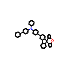 c1ccc(-c2ccc(N(c3ccccc3)c3ccc(-c4ccc5c(c4)-c4ccccc4C54c5ccccc5Oc5ccccc54)cc3)cc2)cc1